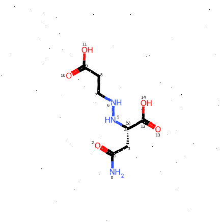 NC(=O)C[C@H](NNCCC(=O)O)C(=O)O